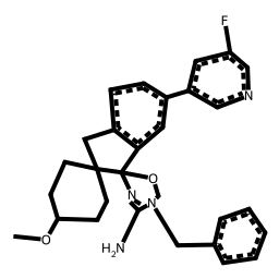 COC1CCC2(CC1)Cc1ccc(-c3cncc(F)c3)cc1C21N=C(N)N(Cc2ccccc2)CO1